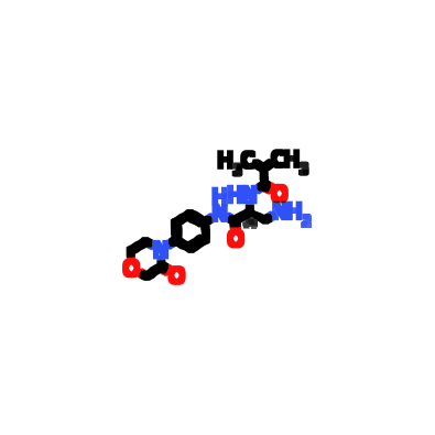 CC(C)C(=O)N[C@@H](CN)C(=O)Nc1ccc(N2CCOCC2=O)cc1